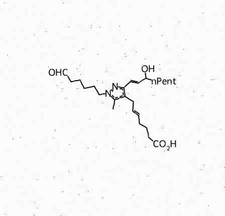 CCCCCC(O)C=Cc1nn(CCCCCC=O)c(C)c1CC=CCCCC(=O)O